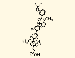 CN(C(=O)c1cccc(OC(F)F)c1)[C@@H]1CCn2c1nc1cc(F)c(-c3cnc(C(C)(C)OC(=O)CCC(=O)O)nc3)cc12